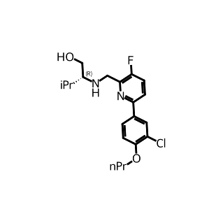 CCCOc1ccc(-c2ccc(F)c(CN[C@@H](CO)C(C)C)n2)cc1Cl